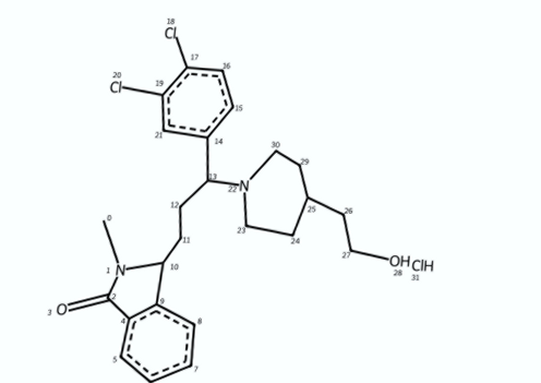 CN1C(=O)c2ccccc2C1CCC(c1ccc(Cl)c(Cl)c1)N1CCC(CCO)CC1.Cl